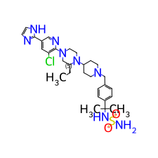 CC[C@H]1CN(c2ncc(-c3ncc[nH]3)cc2Cl)CCN1C1CCN(Cc2ccc(C(C)(C)NS(N)(=O)=O)cc2)CC1